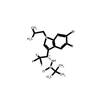 CC(C)Cn1cc([C@H](N[S+]([O-])C(C)(C)C)C(F)(F)F)c2cc(F)c(Br)cc21